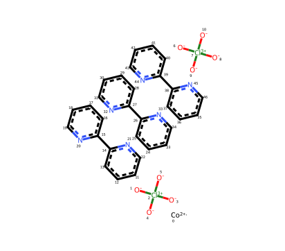 [Co+2].[O-][Cl+3]([O-])([O-])[O-].[O-][Cl+3]([O-])([O-])[O-].c1ccc(-c2ccccn2)nc1.c1ccc(-c2ccccn2)nc1.c1ccc(-c2ccccn2)nc1